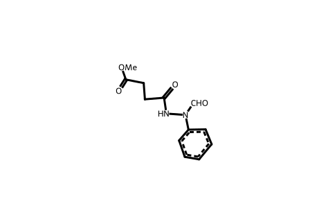 COC(=O)CCC(=O)NN(C=O)c1ccccc1